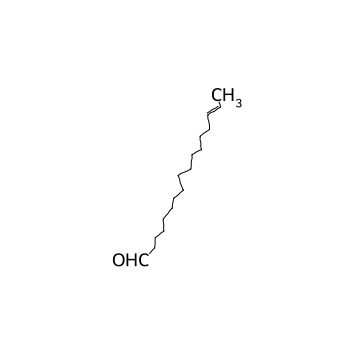 C/C=C/CCCCCCCCCCCCCC=O